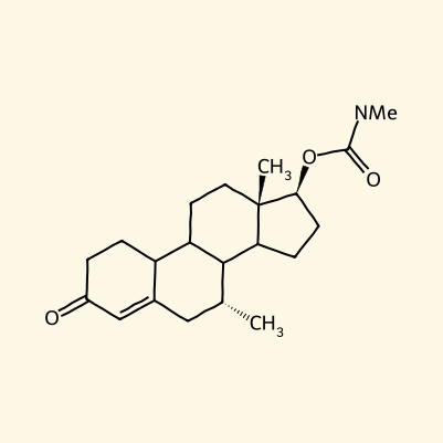 CNC(=O)O[C@H]1CCC2C3C(CC[C@@]21C)C1CCC(=O)C=C1C[C@H]3C